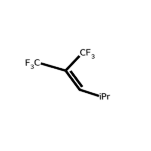 CC(C)C=C(C(F)(F)F)C(F)(F)F